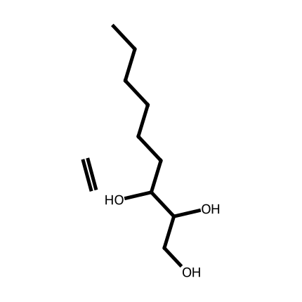 C=C.CCCCCCC(O)C(O)CO